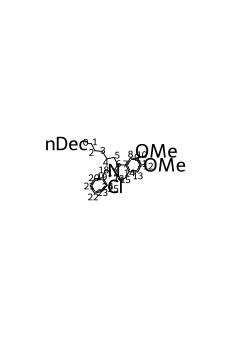 CCCCCCCCCCCCCCCC1c2cc(OC)c(OC)cc2CCN1Cc1ccccc1Cl